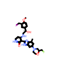 COc1ccc([C@H](O)CNc2cc[nH]c(=O)c2-c2nc3c(C)cc(N4CCOC(CF)C4)cc3[nH]2)cc1CI